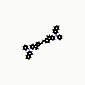 CC1(C)c2cc(/C=C/c3ccc4c(c3)C(C)(C)c3cc(N(c5ccccc5)c5ccc6ccccc6c5)ccc3-4)ccc2-c2ccc(N(c3ccccc3)c3ccc4ccccc4c3)cc21